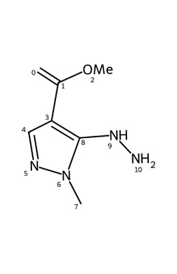 C=C(OC)c1cnn(C)c1NN